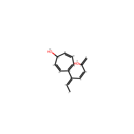 C=C(O)/C=C\C(=C/C)C1=CC=CC(O)C=C1